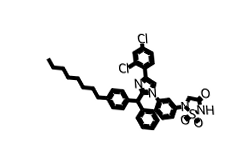 CCCCCCCCc1ccc(C(c2ccccc2)c2nc(-c3ccc(Cl)cc3Cl)cn2-c2cccc(N3CC(=O)NS3(=O)=O)c2)cc1